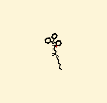 CCCCCCOC(=O)/N=N/C(=O)O[Si](c1ccccc1)(c1ccccc1)c1ccccc1